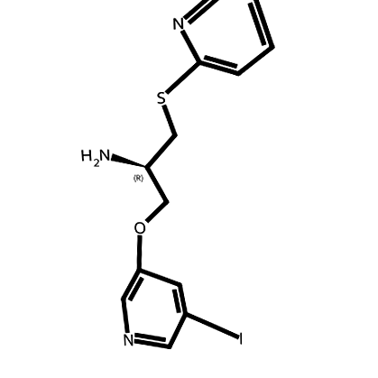 N[C@H](COc1cncc(I)c1)CSc1ccccn1